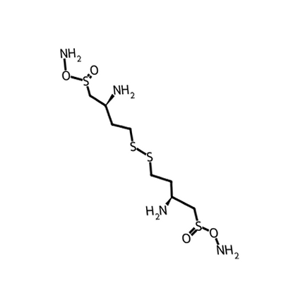 NOS(=O)C[C@@H](N)CCSSCC[C@H](N)CS(=O)ON